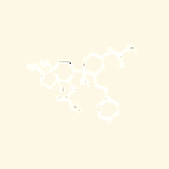 C=C1CC[C@@H]2[C@H](OC(C)=O)[C@H]([C@@]3(C)CC[C@H](OC(C)=O)C[C@@H]3CCN3CCOCC3)CC[C@]12C